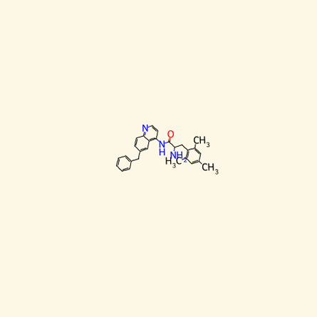 Cc1cc(C)c(CC(N)C(=O)Nc2ccnc3ccc(Cc4ccccc4)cc23)c(C)c1